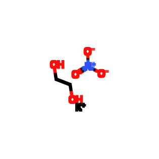 O=[N+]([O-])[O-].OCCO.[K+]